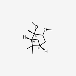 COC1C[C@H]2C[C@H](C2(C)C)[C@]1(C)OC